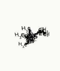 C#CC[N+](C)(C)CCCC(=O)OC1OC[C@@H](OC(=O)CCC)[C@H](OC(=O)CCC)[C@H]1OC(=O)CCC.[Br-]